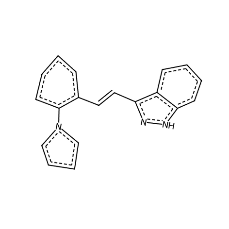 C(=C\c1n[nH]c2ccccc12)/c1ccccc1-n1cccc1